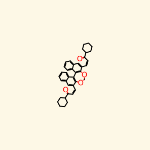 O=C(/C=C\c1cc2ccccc2c2c1OCOc1c(/C=C\C(=O)C3CCCCC3)cc3ccccc3c1-2)C1CCCCC1